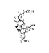 C[C@H](OCC(=O)O)[C@H]1CCC2C3=CC=C4C[C@@H](O[Si](C)(C)C(C)(C)C)C[C@H](O[Si](C)(C)C(C)(C)C)[C@]4(C)C3CC[C@@]21C